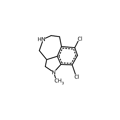 CN1CC2CNCCc3c(Cl)cc(Cl)c1c32